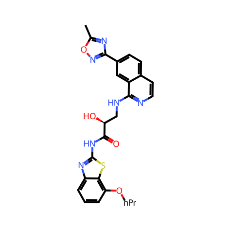 CCCOc1cccc2nc(NC(=O)[C@@H](O)CNc3nccc4ccc(-c5noc(C)n5)cc34)sc12